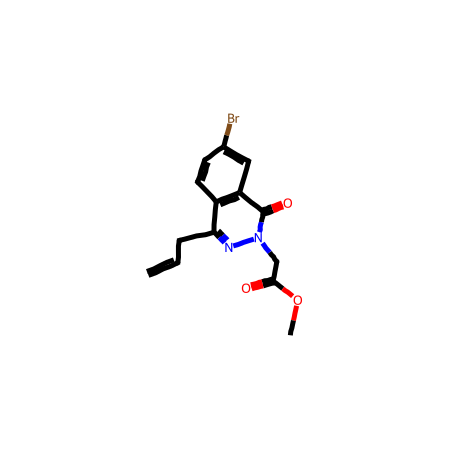 C=CCc1nn(CC(=O)OC)c(=O)c2cc(Br)ccc12